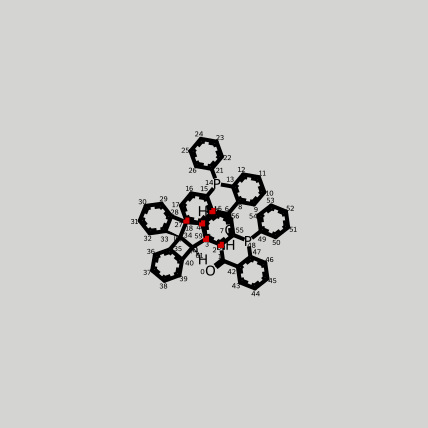 O=C(N[C@H]1[C@H](NC(=O)c2ccccc2P(c2ccccc2)c2ccccc2)C2c3ccccc3[C@@]23c2ccccc2[C@H]13)c1ccccc1P(c1ccccc1)c1ccccc1